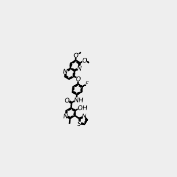 COc1cc2nccc(Oc3ccc(NC(=O)c4cnc(C)c(-c5nccs5)c4O)cc3F)c2nc1OC